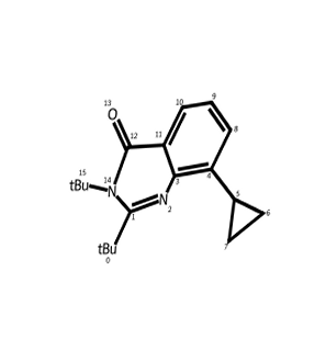 CC(C)(C)c1nc2c(C3CC3)cccc2c(=O)n1C(C)(C)C